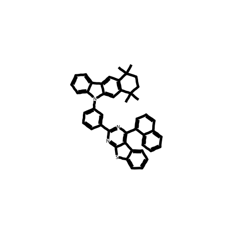 CC1(C)CCC(C)(C)c2cc3c(cc21)c1ccccc1n3-c1cccc(-c2nc(-c3cccc4ccccc34)c3c(n2)sc2ccccc23)c1